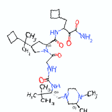 C[C@H]1CN(C[C@@H](NC(=O)NCC(=O)N2CC(C(C)(C)C3CCC3)C[C@H]2C(=O)NC(CC2CCC2)C(=O)C(N)=O)C(C)(C)C)CCN1C